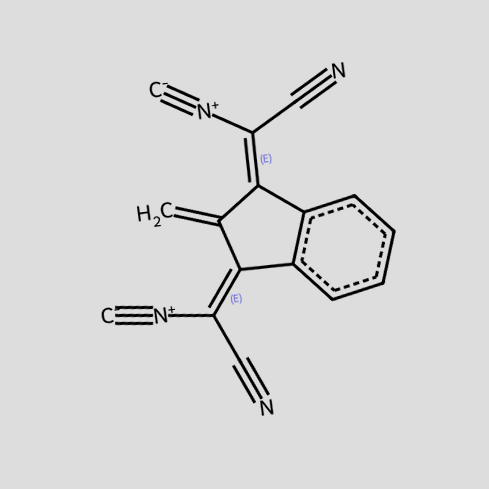 [C-]#[N+]/C(C#N)=C1\C(=C)/C(=C(/C#N)[N+]#[C-])c2ccccc21